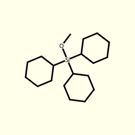 CO[Si](C1CCCCC1)(C1CCCCC1)C1CCCCC1